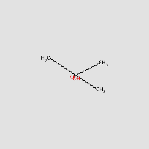 CCCCCCCCCCCCCCCCCCCCC(C(=O)O)C(CCCCCCCCCCCCCCCC)CCCCCCCCCCCCCCCCC